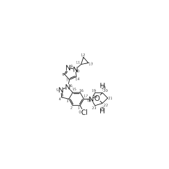 Clc1cc2cnn(-c3cnn(C4CC4)c3)c2cc1N1C[C@H]2C[C@@H](C1)O2